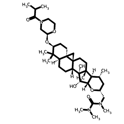 CC(C)C(=O)N1CCO[C@@H](O[C@H]2CC[C@]34C[C@]35CC[C@]3(C)[C@@H]6[C@H](O[C@@H](CN(C)C(=O)N(C)C)C[C@H]6C)[C@H](O)[C@@]3(C)[C@@H]5CC[C@H]4C2(C)C)C1